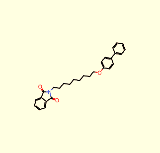 O=C1c2ccccc2C(=O)N1CCCCCCCCCOc1ccc(-c2ccccc2)cc1